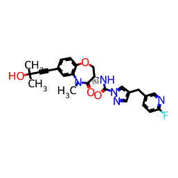 CN1C(=O)[C@@H](NC(=O)n2cc(Cc3ccc(F)nc3)cn2)COc2ccc(C#CC(C)(C)O)cc21